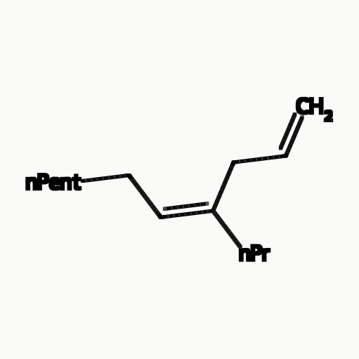 C=CCC(=CCCCCCC)CCC